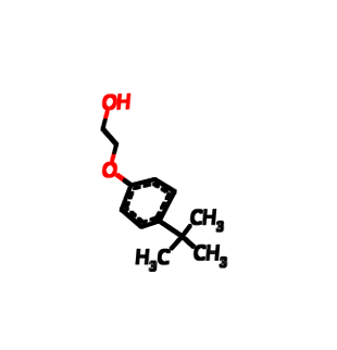 CC(C)(C)c1ccc(OCCO)cc1